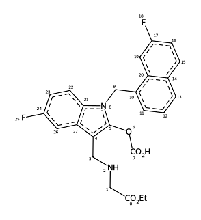 CCOC(=O)CNCc1c(OC(=O)O)n(Cc2cccc3ccc(F)cc23)c2ccc(F)cc12